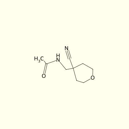 CC(=O)NCC1(C#N)CCOCC1